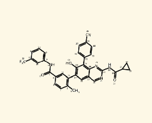 Cc1ccc(C(=O)Nc2cccc(C(F)(F)F)c2)cc1-c1cc2cnc(NC(=O)C3CC3)nc2c(-c2ccc(C#N)cc2)c1O